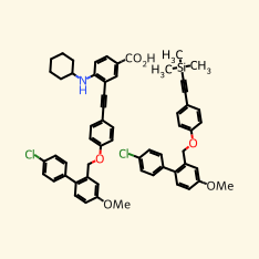 COc1ccc(-c2ccc(Cl)cc2)c(COc2ccc(C#C[Si](C)(C)C)cc2)c1.COc1ccc(-c2ccc(Cl)cc2)c(COc2ccc(C#Cc3cc(C(=O)O)ccc3NC3CCCCC3)cc2)c1